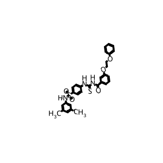 Cc1cc(C)cc(NS(=O)(=O)c2ccc(NC(=S)NC(=O)c3cccc(OCCOc4ccccc4)c3)cc2)c1